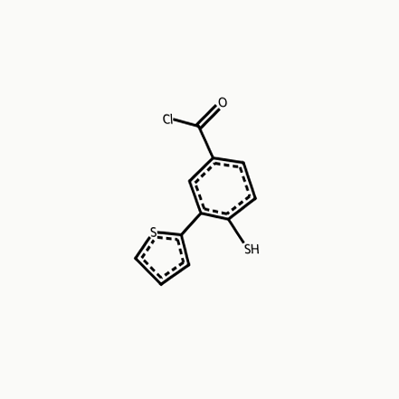 O=C(Cl)c1ccc(S)c(-c2cccs2)c1